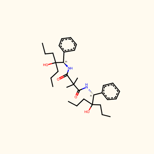 CCCC(O)(CCC)[C@H](NC(=O)C(C)(C)C(=O)N[C@H](c1ccccc1)C(O)(CCC)CCC)c1ccccc1